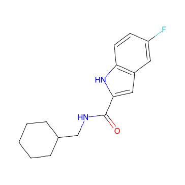 O=C(NCC1CCCCC1)c1cc2cc(F)ccc2[nH]1